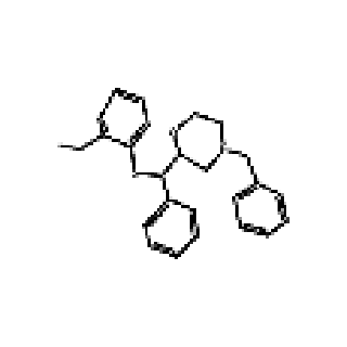 CCc1ccccc1SC(c1ccccc1)C1CN(Cc2ccccc2)CCO1